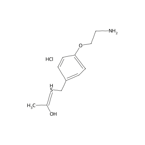 CC(O)=[SH]Cc1ccc(OCCN)cc1.Cl